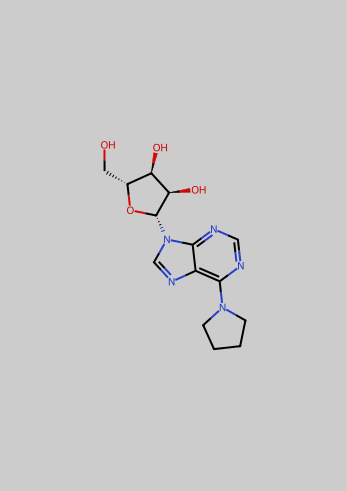 OC[C@H]1O[C@@H](n2cnc3c(N4CCCC4)ncnc32)[C@H](O)[C@@H]1O